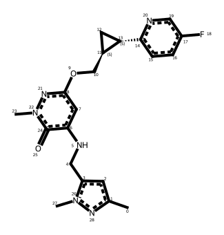 Cc1cc(CNc2cc(OC[C@H]3C[C@@H]3c3ccc(F)cn3)nn(C)c2=O)n(C)n1